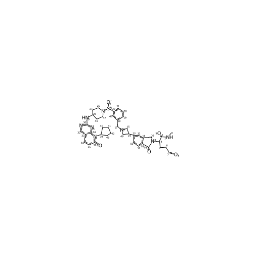 CNC(=O)C(CCC=O)N1Cc2cc(C3CN(Cc4cccc([S+]([O-])N5CCC(Nc6ncc7ccc(=O)n(C8CCCC8)c7n6)CC5)c4)C3)ccc2C1=O